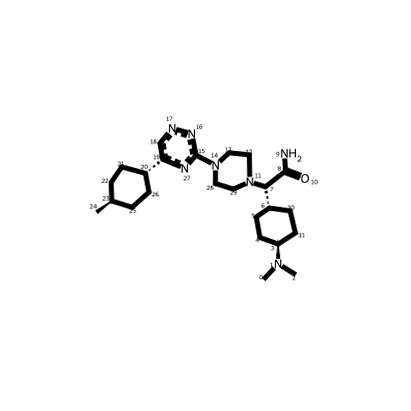 CN(C)[C@H]1CC[C@H](C(C(N)=O)N2CCN(c3nncc([C@H]4CC[C@H](C)CC4)n3)CC2)CC1